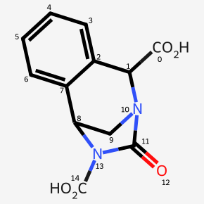 O=C(O)C1c2ccccc2C2CN1C(=O)N2C(=O)O